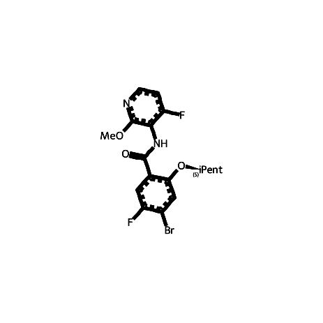 CCC[C@H](C)Oc1cc(Br)c(F)cc1C(=O)Nc1c(F)ccnc1OC